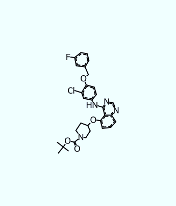 CC(C)(C)OC(=O)N1CCC(Oc2cccc3ncnc(Nc4ccc(OCc5cccc(F)c5)c(Cl)c4)c23)CC1